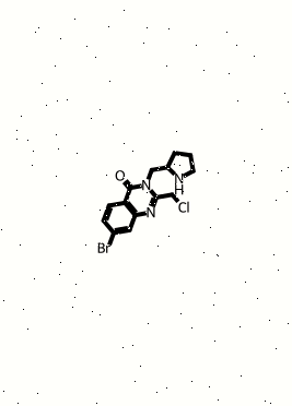 O=c1c2ccc(Br)cc2nc(CCl)n1CC1CCCN1